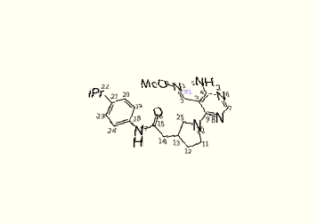 CO/N=C/c1c(N)ncnc1N1CCC(CC(=O)Nc2ccc(C(C)C)cc2)C1